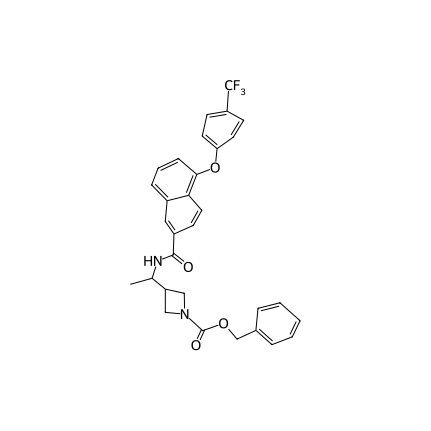 CC(NC(=O)c1ccc2c(Oc3ccc(C(F)(F)F)cc3)cccc2c1)C1CN(C(=O)OCc2ccccc2)C1